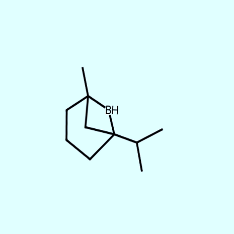 CC(C)C12BC(C)(CCC1)C2